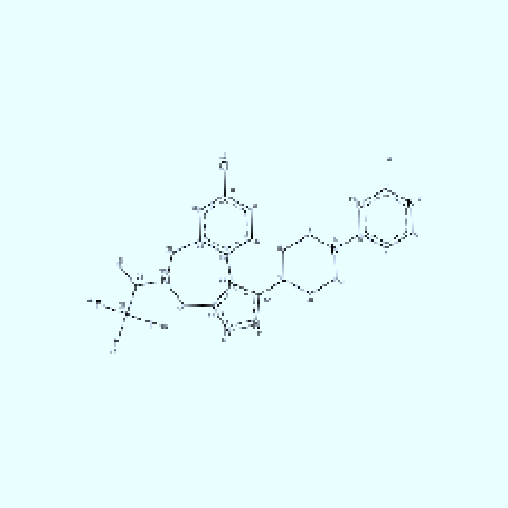 Cc1nccc(N2CCC(c3nnc4n3-c3ccc(Cl)cc3CN(C(C)C(F)(F)F)C4)CC2)n1